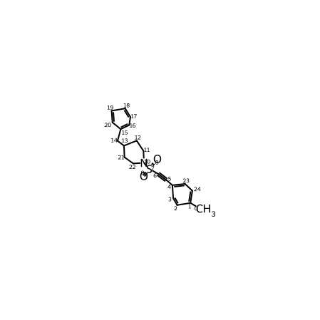 Cc1ccc(C#CS(=O)(=O)N2CCC(Cc3ccccc3)CC2)cc1